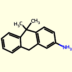 CC1(C)c2ccccc2Cc2cc(N)ccc21